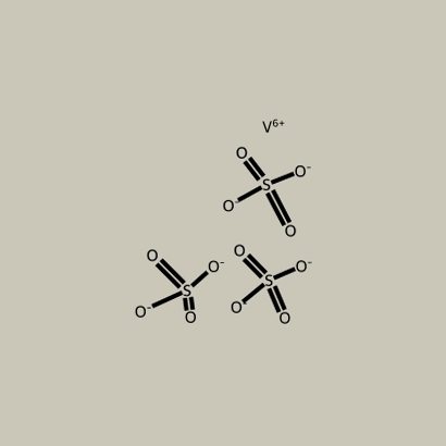 O=S(=O)([O-])[O-].O=S(=O)([O-])[O-].O=S(=O)([O-])[O-].[V+6]